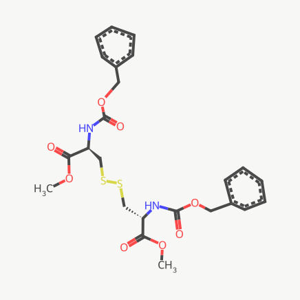 COC(=O)[C@H](CSSC[C@H](NC(=O)OCc1ccccc1)C(=O)OC)NC(=O)OCc1ccccc1